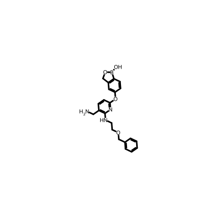 NCc1ccc(Oc2ccc3c(c2)COB3O)nc1NCCOCc1ccccc1